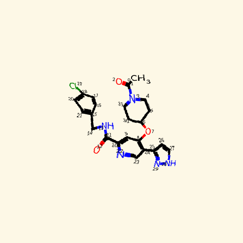 CC(=O)N1CCC(Oc2cc(C(=O)NCc3ccc(Cl)cc3)ncc2-c2cc[nH]n2)CC1